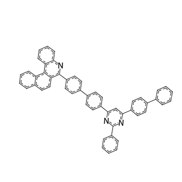 c1ccc(-c2ccc(-c3cc(-c4ccc(-c5ccc(-c6nc7ccccc7c7c6ccc6ccccc67)cc5)cc4)nc(-c4ccccc4)n3)cc2)cc1